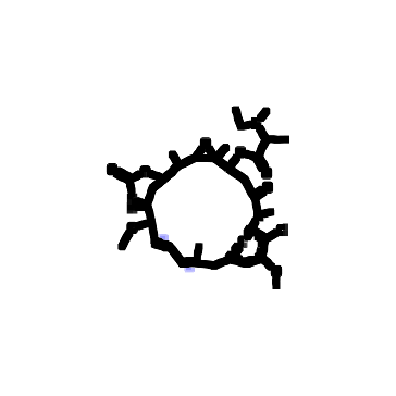 CCN(C)C(C)C(=O)OC1CC(=O)N(C)c2cc(cc(OC)c2Cl)C/C(C)=C/C=C/C(OC)C2(O)CC(OC(=O)N2)C(C)C2OC12C